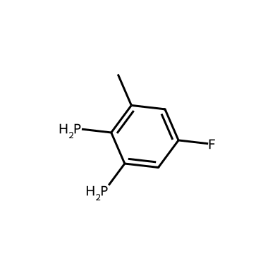 Cc1cc(F)cc(P)c1P